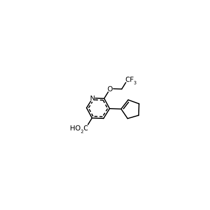 O=C(O)c1cnc(OCC(F)(F)F)c(C2=CCCC2)c1